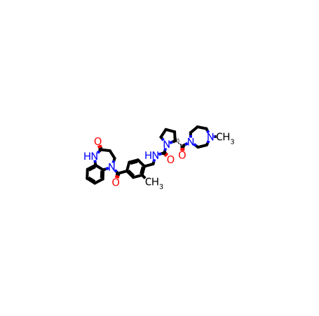 Cc1cc(C(=O)N2CCC(=O)Nc3ccccc32)ccc1CNC(=O)N1CCC[C@@H]1C(=O)N1CCCN(C)CC1